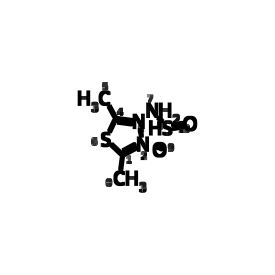 Cc1nnc(C)s1.N[SH](=O)=O